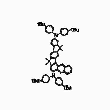 CC(C)(C)c1ccc(N(c2ccc(C(C)(C)C)cc2)c2ccc3c(c2)C(C)(C)c2cc4c(cc2-3)C(C)(C)c2cc(N(c3ccc(C(C)(C)C)cc3)c3ccc(C(C)(C)C)cc3)c3cc5ccccc5cc3c2-4)cc1